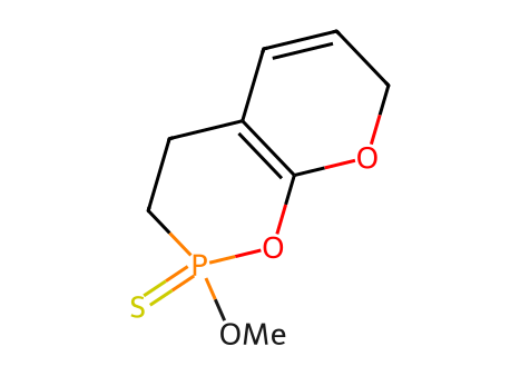 COP1(=S)CCC2=C(OCC=C2)O1